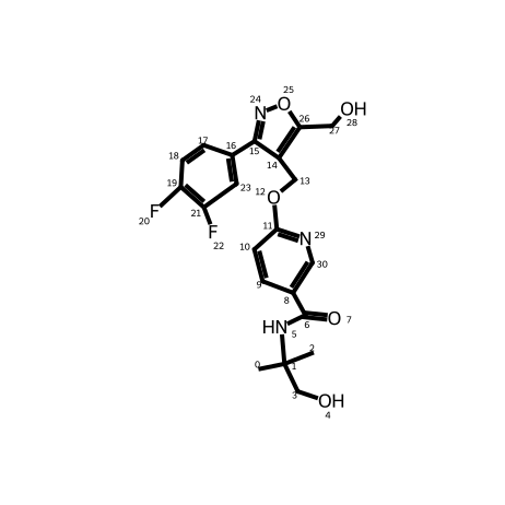 CC(C)(CO)NC(=O)c1ccc(OCc2c(-c3ccc(F)c(F)c3)noc2CO)nc1